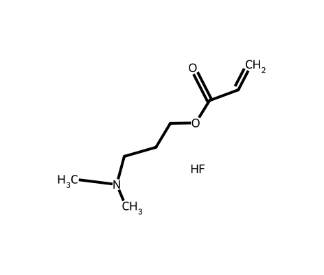 C=CC(=O)OCCCN(C)C.F